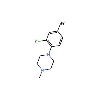 CC(C)c1ccc(N2CCN(C)CC2)c(Cl)c1